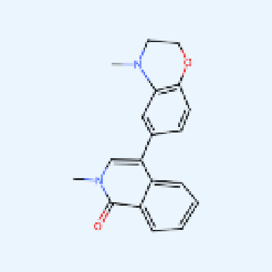 CN1CCOc2ccc(-c3cn(C)c(=O)c4ccccc34)cc21